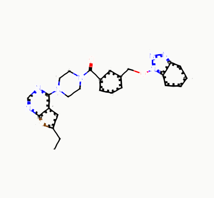 CCc1cc2c(N3CCN(C(=O)c4cccc(COn5nnc6ccccc65)c4)CC3)ncnc2s1